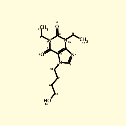 CCn1c(=O)c2c(ncn2CCCCO)n(CC)c1=O